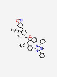 C=C/C(c1cccc(C(=N/C(=N)c2ccccc2)/N=C/c2ccccc2)c1)=c1\c(=C\C2C=CC3=C(C2)C(C)(C)c2cc4ocnc4cc23)oc2ccccc12